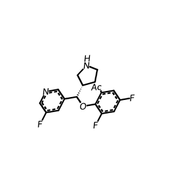 CC(=O)c1cc(F)cc(F)c1OC(c1cncc(F)c1)[C@H]1CCNC1